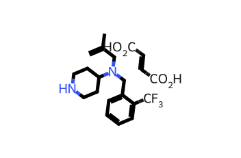 C=C(C)CN(Cc1ccccc1C(F)(F)F)C1CCNCC1.O=C(O)/C=C/C(=O)O